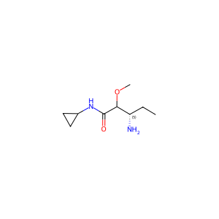 CC[C@H](N)C(OC)C(=O)NC1CC1